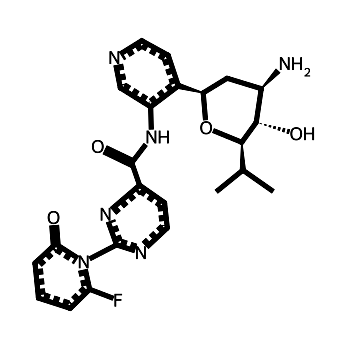 CC(C)[C@H]1O[C@@H](c2ccncc2NC(=O)c2ccnc(-n3c(F)cccc3=O)n2)C[C@@H](N)[C@@H]1O